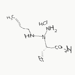 C=CCNN(N)[C@@H](CC)C(=O)O.Cl